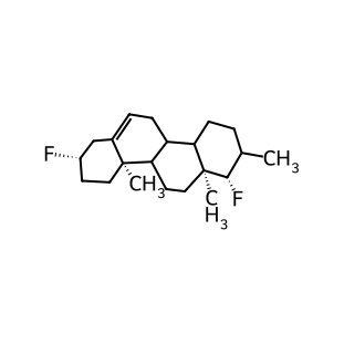 CC1CCC2C3CC=C4C[C@@H](F)CC[C@]4(C)C3CC[C@]2(C)[C@H]1F